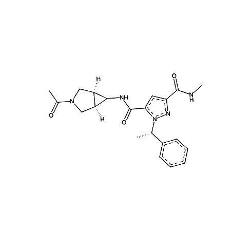 CNC(=O)c1cc(C(=O)NC2[C@H]3CN(C(C)=O)C[C@@H]23)n([C@@H](C)c2ccccc2)n1